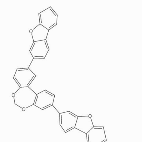 c1ccc2c(c1)oc1cc(-c3ccc4c(c3)OCOc3ccc(-c5ccc6c(c5)oc5ccccc56)cc3-4)ccc12